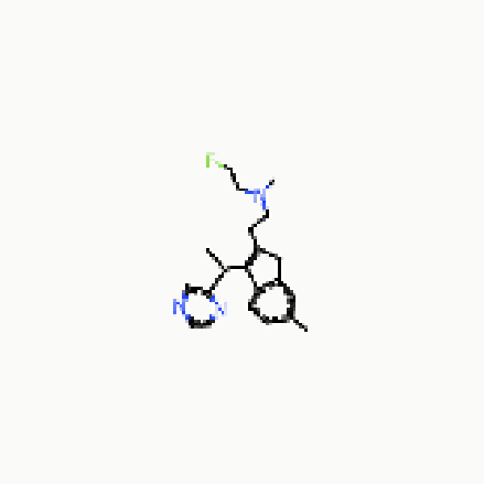 Cc1ccc2c(c1)CC(CCN(C)CCF)=C2C(C)c1cnccn1